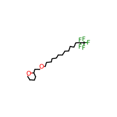 FC(F)(F)C(F)(F)CCCCCCCCCCCCOCCC1CCCCO1